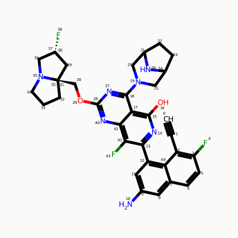 C#Cc1c(F)ccc2cc(N)cc(-c3nc(O)c4c(N5CC6CCC(C5)N6)nc(OC[C@@]56CCCN5C[C@H](F)C6)nc4c3F)c12